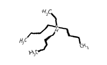 [CH2]C[PH](CCCC)(CCCC)CCCC